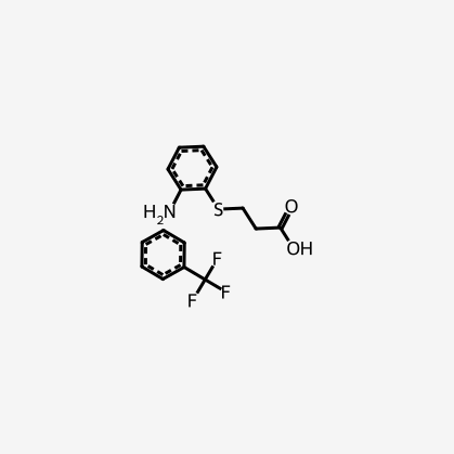 FC(F)(F)c1ccccc1.Nc1ccccc1SCCC(=O)O